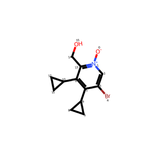 [O-][n+]1cc(Br)c(C2CC2)c(C2CC2)c1CO